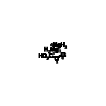 CCOC(=O)O.[MgH2].[MgH2]